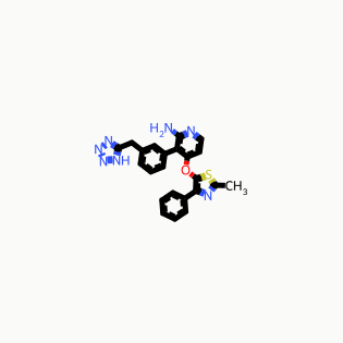 Cc1nc(-c2ccccc2)c(Oc2ccnc(N)c2-c2cccc(Cc3nnn[nH]3)c2)s1